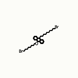 BrCCCCCCCCCCc1c2ccccc2c(OCCCCCCCCBr)c2ccccc12